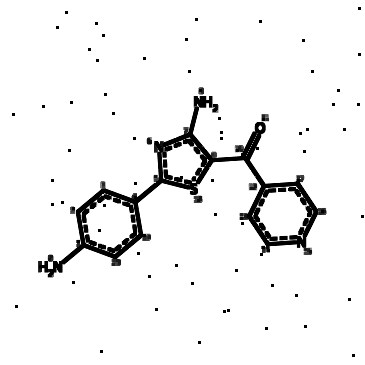 Nc1ccc(-c2nc(N)c(C(=O)c3ccncc3)s2)cc1